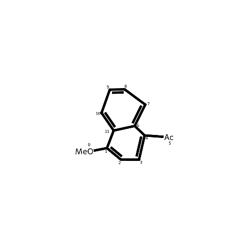 COc1ccc(C(C)=O)c2ccccc12